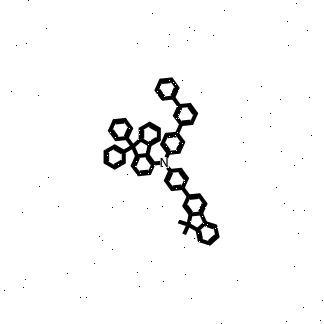 CC1(C)c2ccccc2-c2ccc(-c3ccc(N(c4ccc(-c5cccc(-c6ccccc6)c5)cc4)c4cccc5c4-c4ccccc4C5(c4ccccc4)c4ccccc4)cc3)cc21